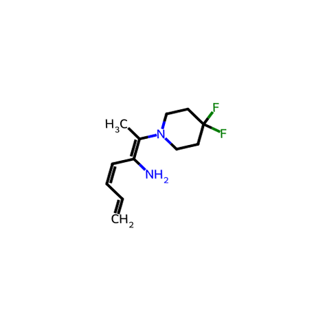 C=C/C=C\C(N)=C(/C)N1CCC(F)(F)CC1